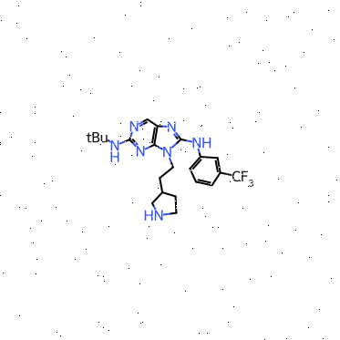 CC(C)(C)Nc1ncc2nc(Nc3cccc(C(F)(F)F)c3)n(CCC3CCNC3)c2n1